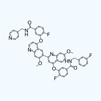 COc1ccc2c(Oc3cc(C(=O)NCc4cccc(F)c4)ccc3F)cc(-c3cc4c(Oc5cc(C(=O)NCc6ccncc6)ccc5F)ccnc4cc3OC)nc2c1